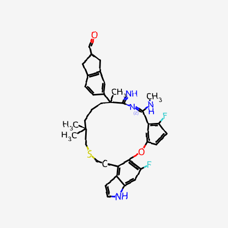 CN/C1=N\C(=N)C(C)(c2ccc3c(c2)CC(C=O)C3)CCCC(C)(C)CSCCc2c(c(F)cc3[nH]ccc23)Oc2ccc(F)c1c2